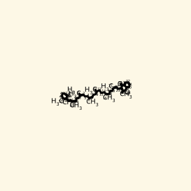 CC(=CCCC(C)=CCCC(C)CCCC(C)CCCC(C)=CCC1=C(C)C(=O)c2ccccc2C1=O)CCC=C(C)CCC1C(C)=CCCC1(C)C